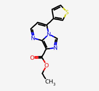 CCOC(=O)c1ncn2c(-c3ccsc3)ccnc12